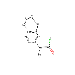 CCC(C(=O)Cl)c1ccc2c(c1)CCCC2